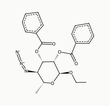 CCO[C@H]1O[C@H](C)[C@@H](N=[N+]=[N-])[C@H](OC(=O)c2ccccc2)[C@@H]1OC(=O)c1ccccc1